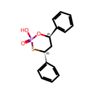 O=P1(O)O[C@@H](c2ccccc2)C[C@H](c2ccccc2)S1